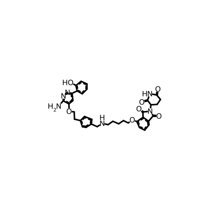 Nc1nnc(-c2ccccc2O)cc1OCCc1ccc(CNCCCCCOc2cccc3c2C(=O)N(C2CCC(=O)NC2=O)C3=O)cc1